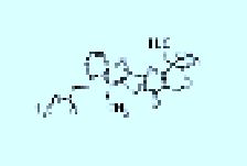 CCc1c2c(nc3cccc(C=CC(=O)OC)c13)-c1cc3c(c(=O)n1C2)COC(=O)C3(O)CC